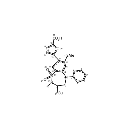 CCCCC1CN(c2ccccc2)c2cc(SC)c(-c3ncc(C(=O)O)o3)cc2S(=O)(=O)N1C